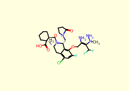 CN(N)/C(=C(\N)COc1c(F)cc(Cl)c2c1[C@@H](CN1CCCC1=O)N(C(=O)[C@@H]1CCCC[C@]1(C)C(=O)O)CC2)C(F)F